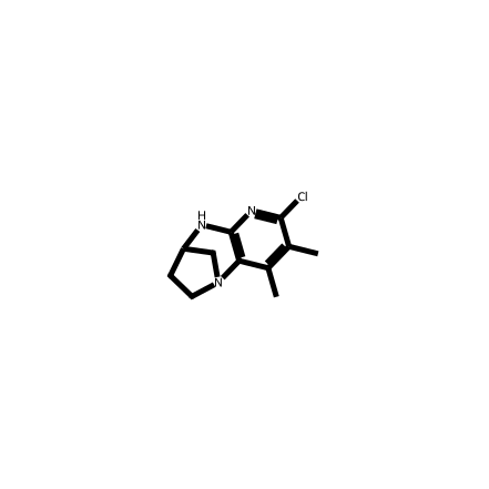 Cc1c(Cl)nc2c(c1C)N1CCC(C1)N2